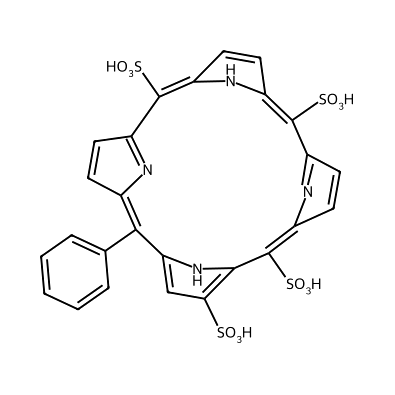 O=S(=O)(O)c1c2nc(c(-c3ccccc3)c3cc(S(=O)(=O)O)c([nH]3)c(S(=O)(=O)O)c3nc(c(S(=O)(=O)O)c4ccc1[nH]4)C=C3)C=C2